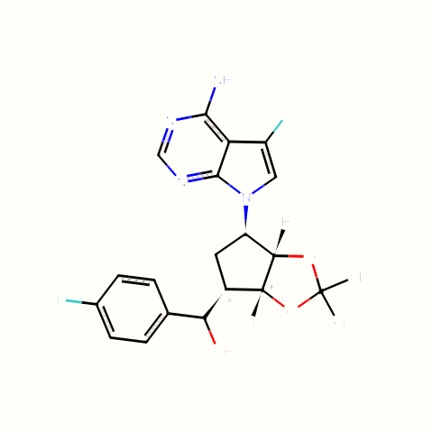 CC1(C)O[C@@H]2[C@H](O1)[C@@H](C(O)c1ccc(F)cc1)C[C@H]2n1cc(F)c2c(N)ncnc21